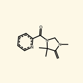 C=C1N(C)CN(C(=O)c2ccccn2)C1(C)C